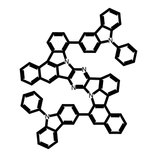 c1ccc(-n2c3ccccc3c3cc(-c4cc5ccccc5c5c6cccc7c8nc9c(nc8n(c45)c76)c4cc5ccccc5c5c6cccc(-c7ccc8c(c7)c7ccccc7n8-c7ccccc7)c6n9c45)ccc32)cc1